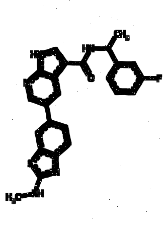 CNc1nc2ccc(-c3cnc4[nH]cc(C(=O)NC(C)c5cccc(F)c5)c4c3)cc2s1